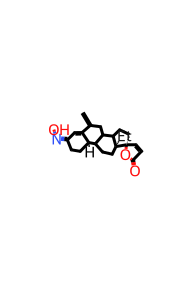 C=C1CC2C(CC[C@@]3(CC)C2CC[C@@]32C=CC(=O)O2)[C@H]2CCC(=NO)C=C12